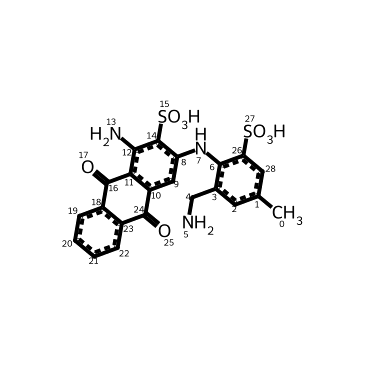 Cc1cc(CN)c(Nc2cc3c(c(N)c2S(=O)(=O)O)C(=O)c2ccccc2C3=O)c(S(=O)(=O)O)c1